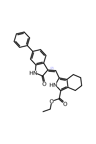 CCOC(=O)c1[nH]c(/C=C2\C(=O)Nc3cc(-c4ccccc4)ccc32)c2c1CCCC2